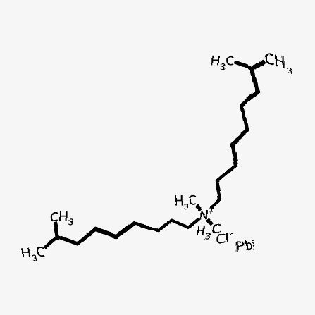 CC(C)CCCCCCC[N+](C)(C)CCCCCCCC(C)C.[Cl-].[Pb]